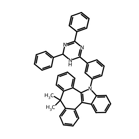 CC1(C)c2ccccc2-c2c(n(-c3cccc(C4=NC(c5ccccc5)=NC(c5ccccc5)N4)c3)c3ccccc23)-c2ccccc21